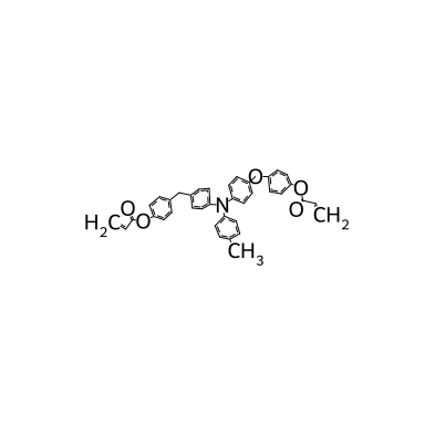 C=CC(=O)Oc1ccc(Cc2ccc(N(c3ccc(C)cc3)c3ccc(Oc4ccc(OC(=O)C=C)cc4)cc3)cc2)cc1